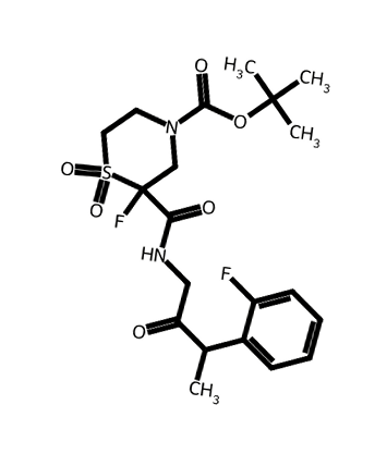 CC(C(=O)CNC(=O)C1(F)CN(C(=O)OC(C)(C)C)CCS1(=O)=O)c1ccccc1F